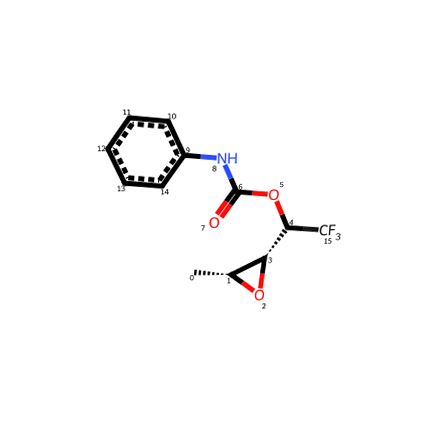 C[C@H]1O[C@H]1C(OC(=O)Nc1ccccc1)C(F)(F)F